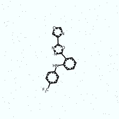 FC(F)(F)c1ccc(Nc2ccccc2-c2nnc(-c3cocn3)o2)cc1